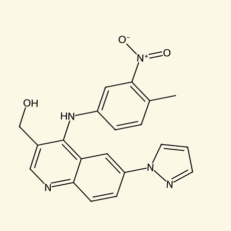 Cc1ccc(Nc2c(CO)cnc3ccc(-n4cccn4)cc23)cc1[N+](=O)[O-]